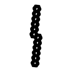 c1ccc2cc3cc4cc5cc6c(ccc7c8cc9cc%10cc%11cc%12ccccc%12cc%11cc%10cc9cc8ccc67)cc5cc4cc3cc2c1